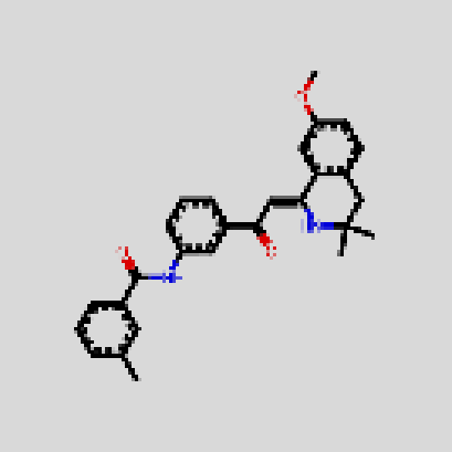 COc1ccc2c(c1)C(=CC(=O)c1cccc(NC(=O)c3cccc(C)c3)c1)NC(C)(C)C2